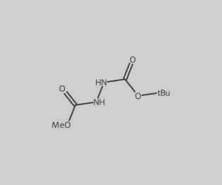 COC(=O)NNC(=O)OC(C)(C)C